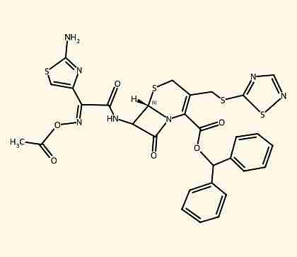 CC(=O)ON=C(C(=O)NC1C(=O)N2C(C(=O)OC(c3ccccc3)c3ccccc3)=C(CSc3ncns3)CS[C@@H]12)c1csc(N)n1